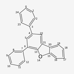 c1ccc(-c2cc(-c3ccccc3)c3oc4ccccc4c3c2)cc1